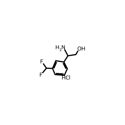 Cl.NC(CO)c1cccc(C(F)F)c1